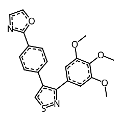 COc1cc(-c2nscc2-c2ccc(-c3ncco3)cc2)cc(OC)c1OC